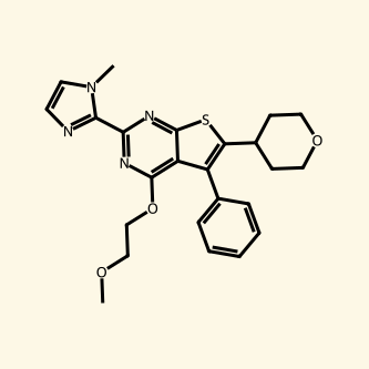 COCCOc1nc(-c2nccn2C)nc2sc(C3CCOCC3)c(-c3ccccc3)c12